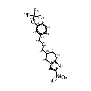 O=[N+]([O-])c1cn2c(n1)OCC(COCc1cccc(OC(F)(F)F)c1)C2